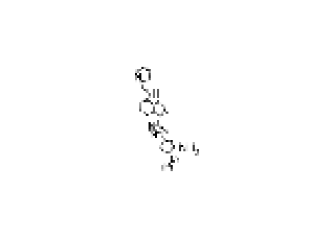 CC(C)Oc1ccc(-c2nnc(-c3cccc4c3CCC[C@H]4NCc3ccccn3)s2)cc1N